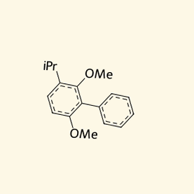 COc1ccc(C(C)C)c(OC)c1-c1ccccc1